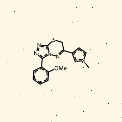 COc1ccccc1-c1nnc2n1N=C(c1ccn(C)c1)CS2